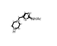 CC(=O)Nc1ncc(CN2CCNCC2)s1